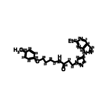 CCc1ncc2nnn(-c3cnn(CCC(=O)NCCCCOc4ccc(C)cc4)c3)c2n1